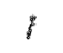 O=C1CCc2c(OC[C@H](O)CNCCOc3ccc(C=C4SC(N5CCCCC5)=NC4=O)cc3)ccc(O)c2N1